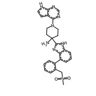 CS(=O)(=O)Cc1ccccc1-c1cccc2[nH]c(C3(N)CCN(c4ncnc5[nH]ccc45)CC3)nc12